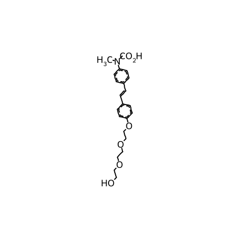 CN(C(=O)O)c1ccc(/C=C/c2ccc(OCCOCCOCCO)cc2)cc1